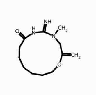 C=C1CN(C)C(=N)NC(=O)CCCCCCO1